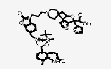 CC(C)(C)[Si](C)(C)O[C@@H](CNCc1ccc2c(c1)oc(=O)n2CCCN1CCC2(CC1)CC(OC(C(=O)O)(c1cccs1)c1cccs1)C2)c1ccc(O)c2[nH]c(=O)ccc12